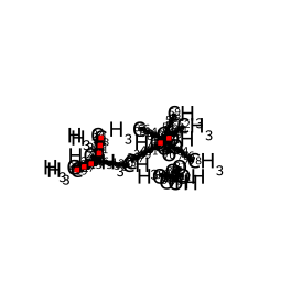 CCCCCCCCC(CCCCCC)(CCCCCC)C(O)(CCCCCC)CCCCCC.CCCCCCCCCC[C@]1([C@@](CCCCCC)(OCCCCCC)C(O)CCCCCC)OC(=O)C(OCCCCCC)=C1O.O=C1O[C@H]([C@@H](O)CO)C(O)=C1O